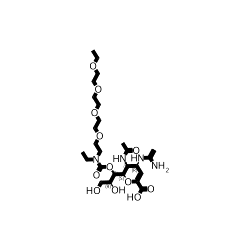 C=C(N)N[C@@H]1C=C(C(=O)O)O[C@H]([C@H](OC(=O)N(CC)CCOCCOCCOCCOCC)[C@H](O)CO)[C@H]1NC(C)=O